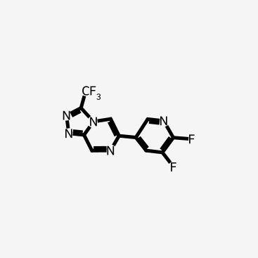 Fc1cc(-c2cn3c(C(F)(F)F)nnc3cn2)cnc1F